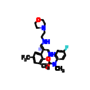 CN(C(=O)Oc1c(/C(C=N)=C/NCCN2CCOCC2)cc(C(F)(F)F)cc1C(F)(F)F)c1ccc(F)cc1